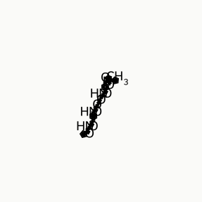 CC1C(=O)N(CC2CCC(C(=O)NCCOCCOCCC(=O)Nc3ccc(CCC(=O)NCCC(=O)C4CCCC4)cc3)CC2)C(=O)C1C1CCCC1